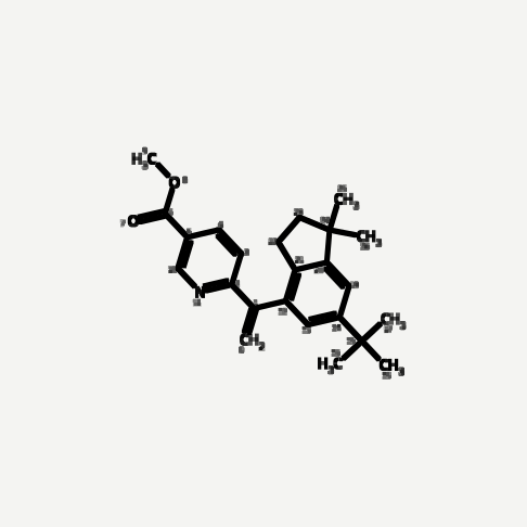 C=C(c1ccc(C(=O)OC)cn1)c1cc(C(C)(C)C)cc2c1CCC2(C)C